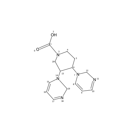 O=C(O)N1CCC(N2C=CC=NC2)C(N2C=CC=NC2)C1